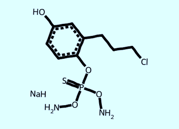 NOP(=S)(ON)Oc1ccc(O)cc1CCCCl.[NaH]